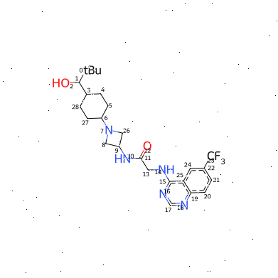 CC(C)(C)C(O)C1CCC(N2CC(NC(=O)CNc3ncnc4ccc(C(F)(F)F)cc34)C2)CC1